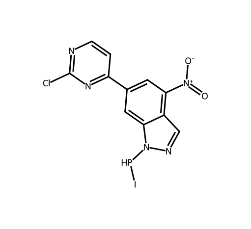 O=[N+]([O-])c1cc(-c2ccnc(Cl)n2)cc2c1cnn2PI